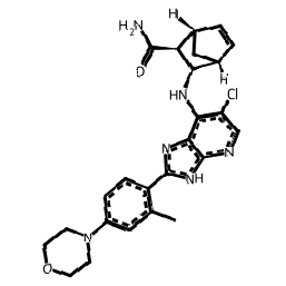 Cc1cc(N2CCOCC2)ccc1-c1nc2c(N[C@H]3[C@@H](C(N)=O)[C@@H]4C=C[C@H]3C4)c(Cl)cnc2[nH]1